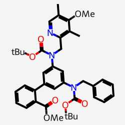 COC(=O)c1ccccc1-c1cc(N(Cc2ccccc2)C(=O)OC(C)(C)C)cc(N(Cc2ncc(C)c(OC)c2C)C(=O)OC(C)(C)C)c1